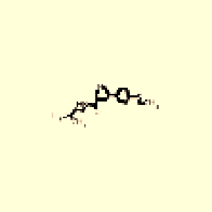 CCSc1ccc(-c2cncc(C(=O)NCCC(C)C)c2)cc1